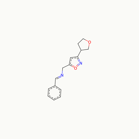 C(=N\Cc1cc(C2CCOC2)no1)/c1ccccc1